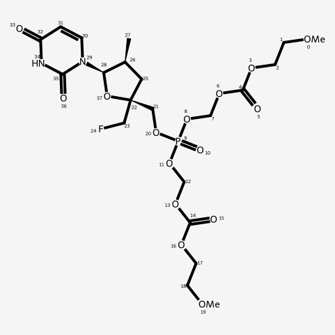 COCCOC(=O)OCOP(=O)(OCOC(=O)OCCOC)OC[C@]1(CF)C[C@H](C)[C@H](n2ccc(=O)[nH]c2=O)O1